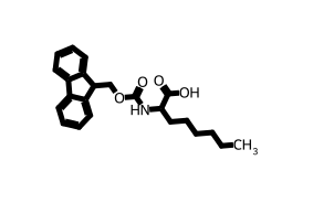 CCCCCCC(NC(=O)OCC1c2ccccc2-c2ccccc21)C(=O)O